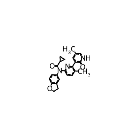 Cc1c[nH]c(=O)c(-c2nc(N(C(=O)C3CC3)c3ccc4c(c3)CCO4)ccc2C)c1